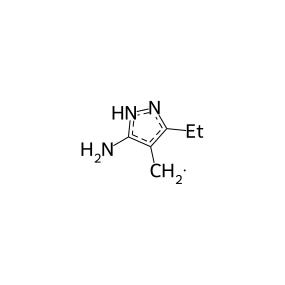 [CH2]c1c(CC)n[nH]c1N